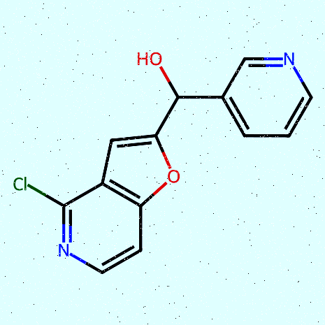 OC(c1cccnc1)c1cc2c(Cl)nccc2o1